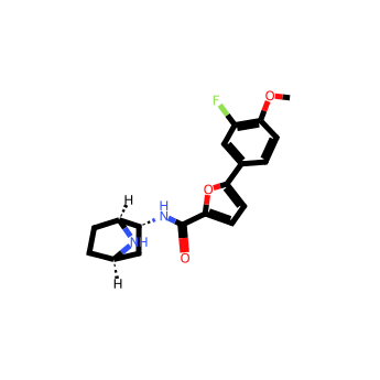 COc1ccc(-c2ccc(C(=O)N[C@@H]3C[C@H]4CC[C@@H]3N4)o2)cc1F